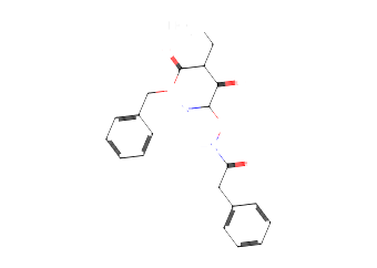 NC(ONC(=O)Cc1ccccc1)C(=O)C(CC(=O)O)C(=O)OCc1ccccc1